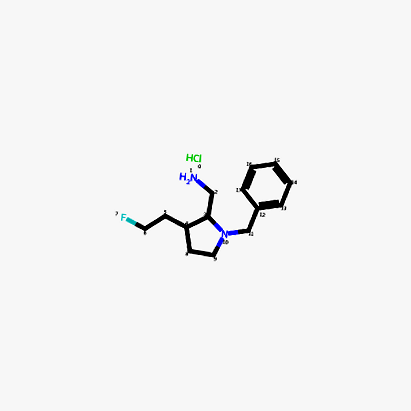 Cl.NCC1C(CCF)CCN1Cc1ccccc1